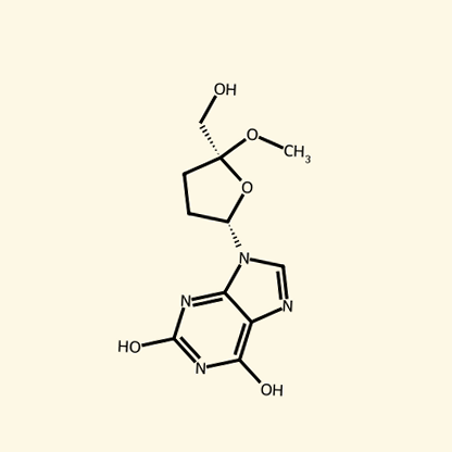 CO[C@]1(CO)CC[C@@H](n2cnc3c(O)nc(O)nc32)O1